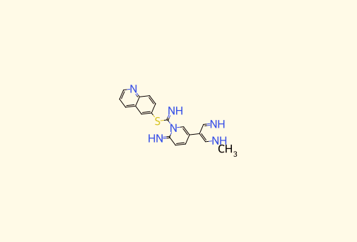 CN/C=C(\C=N)c1ccc(=N)n(C(=N)Sc2ccc3ncccc3c2)c1